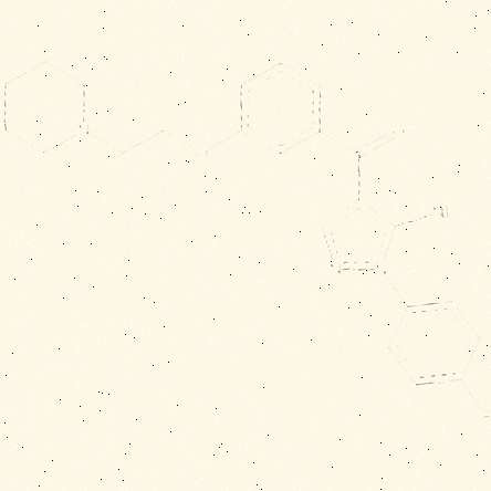 Nc1c(C(=O)c2cccc(OCCN3CCCCC3)c2)cnn1-c1ccc(F)cc1